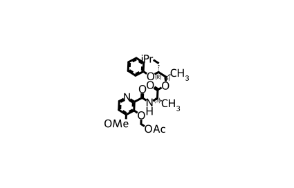 COc1ccnc(C(=O)N[C@@H](C)C(=O)O[C@@H](C)[C@@H](CC(C)C)Oc2ccccc2)c1OCOC(C)=O